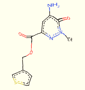 CCn1nc(C(=O)OCc2ccsc2)cc(N)c1=O